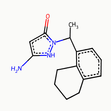 CC(c1cccc2c1CCCC2)n1[nH]c(N)cc1=O